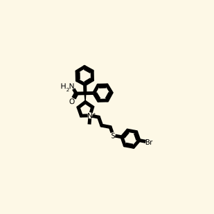 C[N+]1(CCCSc2ccc(Br)cc2)CC[C@@H](C(C(N)=O)(c2ccccc2)c2ccccc2)C1